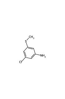 CSc1cc(N)cc(Cl)c1